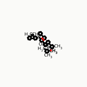 COc1cc(N(c2ccc3c(c2)C(C)(C)c2ccccc2-3)c2ccccc2-c2ccccc2)ccc1-c1ccc2c3c(cccc13)-c1cc(C)cc(C)c1B2c1c(C)cc(C)cc1C